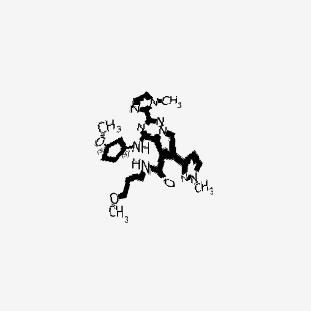 COCCCNC(=O)c1c(-c2ccn(C)n2)cn2nc(-c3nccn3C)nc(N[C@H]3CC[C@H](OC)C3)c12